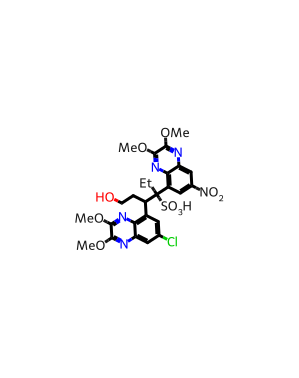 CCC(c1cc([N+](=O)[O-])cc2nc(OC)c(OC)nc12)(C(CCO)c1cc(Cl)cc2nc(OC)c(OC)nc12)S(=O)(=O)O